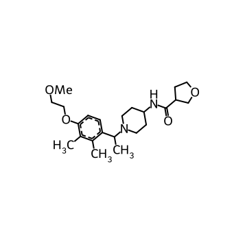 COCCOc1ccc(C(C)N2CCC(NC(=O)C3CCOC3)CC2)c(C)c1C